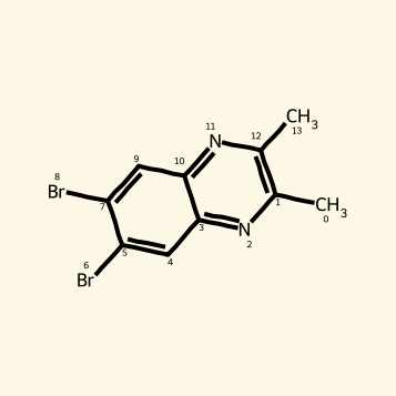 Cc1nc2cc(Br)c(Br)cc2nc1C